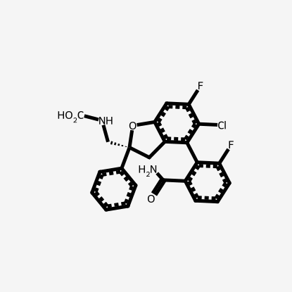 NC(=O)c1cccc(F)c1-c1c(Cl)c(F)cc2c1C[C@@](CNC(=O)O)(c1ccccc1)O2